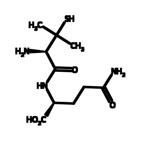 CC(C)(S)[C@H](N)C(=O)N[C@@H](CCC(N)=O)C(=O)O